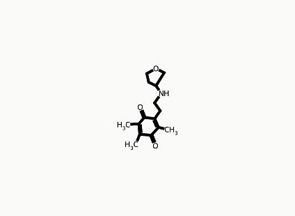 CC1=C(C)C(=O)C(CCNC2CCOC2)=C(C)C1=O